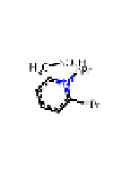 CCCc1cccc[n+]1CCC.CS(=O)(=O)O